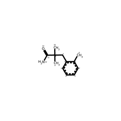 Cc1ccccc1CC(C)(C)C(N)=O